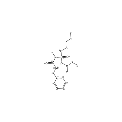 CCCCOP(=O)(SC(C)CC)N(C)C(=S)NCc1ccccc1